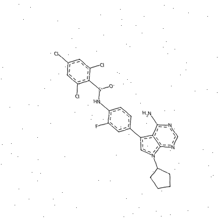 Nc1ncnc2c1c(-c1ccc(N[S+]([O-])c3c(Cl)cc(Cl)cc3Cl)c(F)c1)cn2C1CCCC1